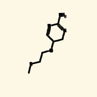 CSCCOC1C=NC(N)=NC1